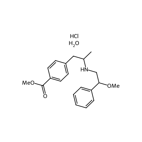 COC(=O)c1ccc(CC(C)NCC(OC)c2ccccc2)cc1.Cl.O